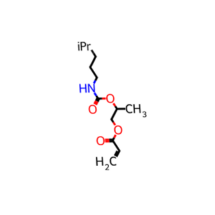 C=CC(=O)OCC(C)OC(=O)NCCCC(C)C